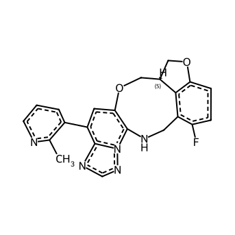 Cc1ncccc1-c1cc2c(n3ncnc13)NCc1c(F)ccc3c1[C@@H](CO3)CO2